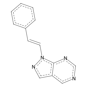 C(=C\n1ncc2cncnc21)/c1ccccc1